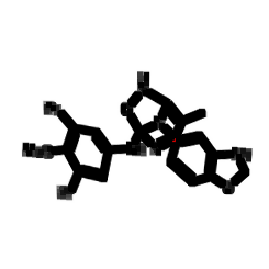 COc1c(C(C)C)cc(NC23N=CC(C)=C(NO2)N3c2ccc3c(c2)NCO3)cc1C(C)C